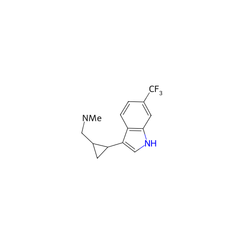 CNCC1CC1c1c[nH]c2cc(C(F)(F)F)ccc12